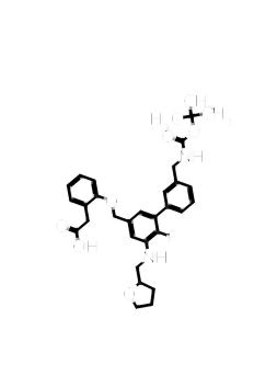 CC(C)(C)OC(=O)NCc1cccc(-c2cc(COc3ccccc3CC(=O)O)cc(NCC3CCCO3)c2F)c1